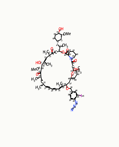 CO[C@@H]1C[C@H](C[C@@H](C)[C@@H]2CC(=O)[C@H](C)/C=C(\C)[C@@H](O)[C@@H](OC)C(=O)[C@H](C)C[C@H](C)/C=C/C=C/C=C(\C)C(OCc3ccc(N=[N+]=[N-])c(I)c3)C[C@@H]3CC[C@@H](C)[C@](O)(CC(=O)N4CCCC[C@H]4C(=O)O2)O3)CC[C@H]1O